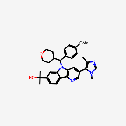 COc1ccc(C(C2CCOCC2)n2c3cc(C(C)(C)O)ccc3c3ncc(-c4c(C)ncn4C)cc32)cc1